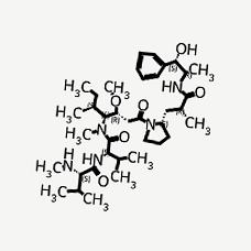 CC[C@H](C)[C@@H]([C@@H](CC(=O)N1CCC[C@H]1C[C@@H](C)C(=O)N[C@H](C)[C@@H](O)c1ccccc1)OC)N(C)C(=O)[C@@H](NC(=O)[C@@H](NC)C(C)C)C(C)C